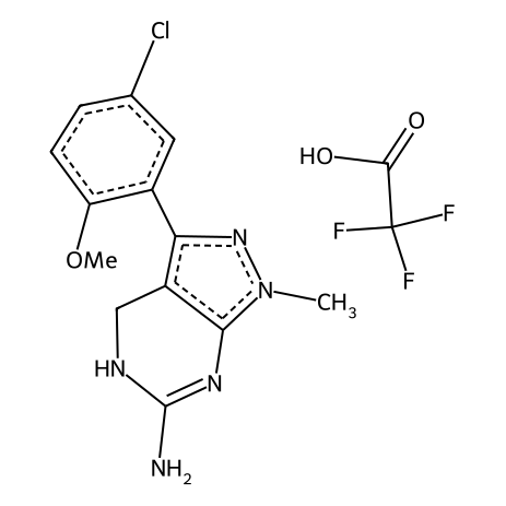 COc1ccc(Cl)cc1-c1nn(C)c2c1CNC(N)=N2.O=C(O)C(F)(F)F